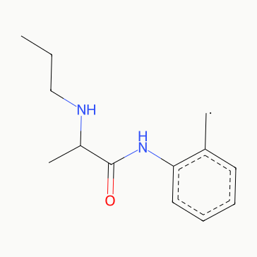 [CH2]c1ccccc1NC(=O)C(C)NCCC